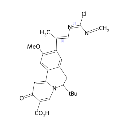 C=N/C(Cl)=N\C=C(/C)c1cc2c(cc1OC)-c1cc(=O)c(C(=O)O)cn1C(C(C)(C)C)C2